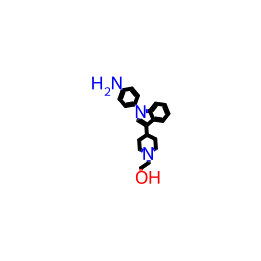 Nc1ccc(-n2cc(C3CCN(CCO)CC3)c3ccccc32)cc1